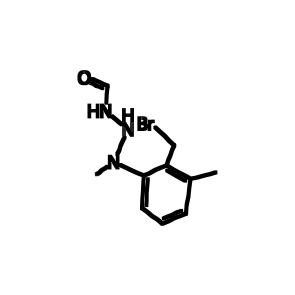 Cc1cccc(N(C)NNC=O)c1CBr